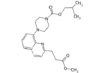 COC(=O)CCc1ccc2cccc(N3CCN(C(=O)OCC(C)C)CC3)c2n1